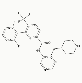 O=C(Nc1cncnc1OC1CCNCC1)c1ccc(C(F)(F)F)c(-c2c(F)cccc2F)n1